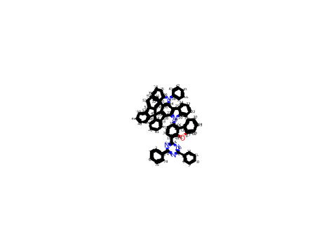 c1ccc(-c2nc(-c3ccccc3)nc(-c3ccc(-n4c5ccccc5c5c4c4c(c6c7ccccc7n(-c7ccccc7)c65)C5(c6ccccc6-c6ccccc65)c5ccccc5-4)c4c3oc3ccccc34)n2)cc1